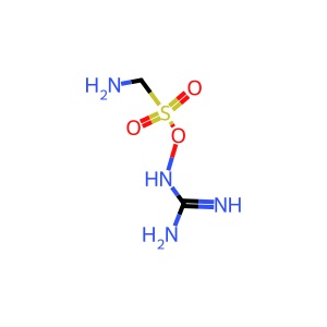 N=C(N)NOS(=O)(=O)CN